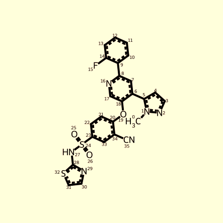 Cn1nccc1-c1cc(-c2ccccc2F)ncc1Oc1ccc(S(=O)(=O)Nc2nccs2)cc1C#N